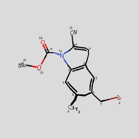 Cc1cc2c(cc1CBr)cc(C#N)n2C(=O)OC(C)(C)C